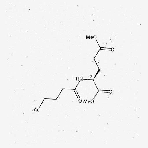 COC(=O)CC[C@H](NC(=O)CCCC(C)=O)C(=O)OC